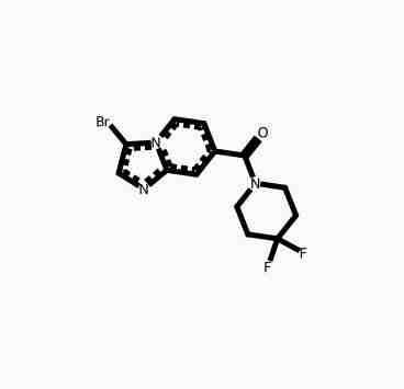 O=C(c1ccn2c(Br)cnc2c1)N1CCC(F)(F)CC1